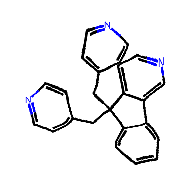 c1ccc2c(c1)-c1cnccc1C2(Cc1ccncc1)Cc1ccncc1